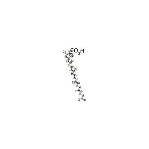 CC(C)=CCC/C(C)=C/CC/C(C)=C/CC/C=C(\C)CC/C=C(\C)CCC=C(C)C(=O)CC(=O)O